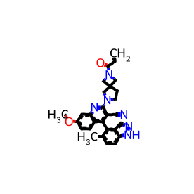 C=CC(=O)N1CC2(CCN(c3nc4cc(OC)ccc4c(-c4c(C)ccc5[nH]ncc45)c3C#N)C2)C1